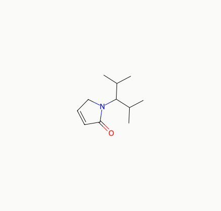 CC(C)C(C(C)C)N1CC=CC1=O